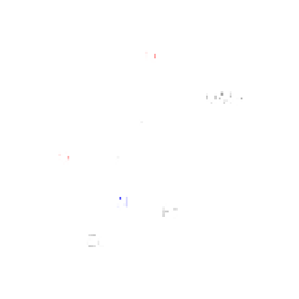 CCN(CC)C(=O)C(C)(C)C(=O)OC